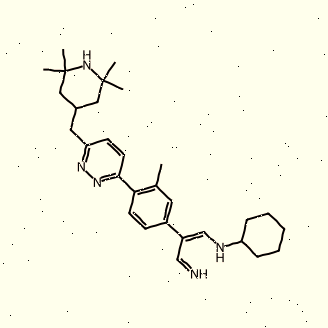 Cc1cc(/C(C=N)=C/NC2CCCCC2)ccc1-c1ccc(CC2CC(C)(C)NC(C)(C)C2)nn1